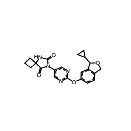 O=C1NC2(CCC2)C(=O)N1c1cnc(Oc2ccc3c(c2)C(C2CC2)OC3)nc1